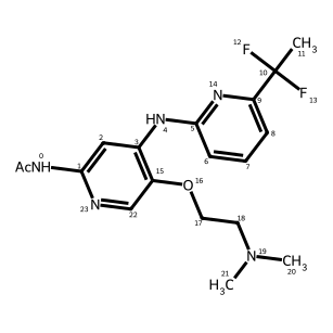 CC(=O)Nc1cc(Nc2cccc(C(C)(F)F)n2)c(OCCN(C)C)cn1